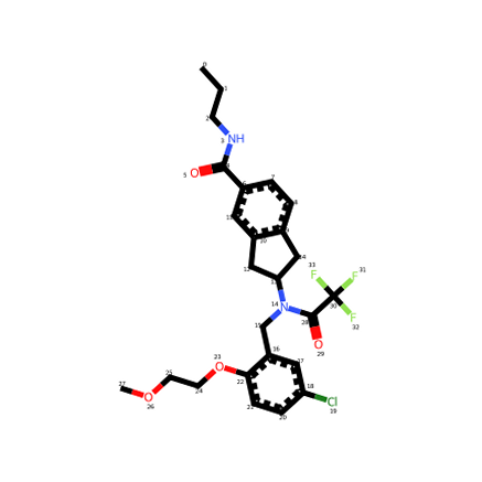 CCCNC(=O)c1ccc2c(c1)CC(N(Cc1cc(Cl)ccc1OCCOC)C(=O)C(F)(F)F)C2